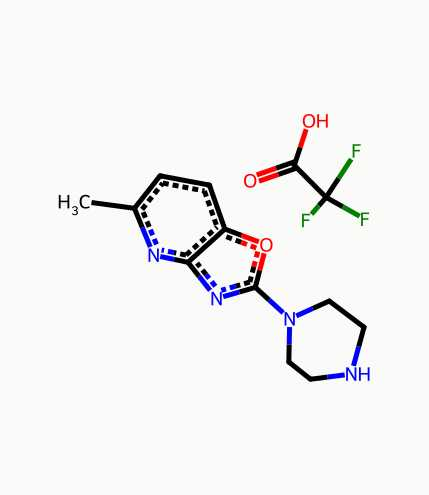 Cc1ccc2oc(N3CCNCC3)nc2n1.O=C(O)C(F)(F)F